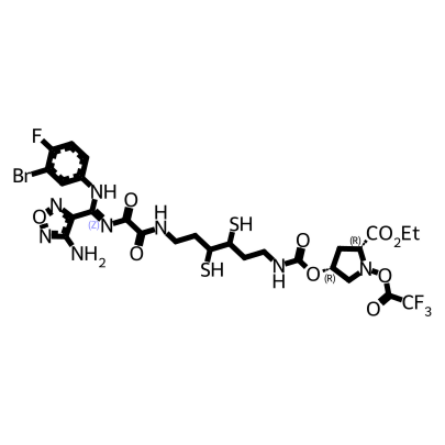 CCOC(=O)[C@H]1C[C@@H](OC(=O)NCCC(S)C(S)CCNC(=O)C(=O)/N=C(\Nc2ccc(F)c(Br)c2)c2nonc2N)CN1OC(=O)C(F)(F)F